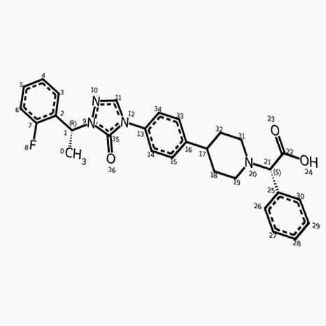 C[C@H](c1ccccc1F)n1ncn(-c2ccc(C3CCN([C@H](C(=O)O)c4ccccc4)CC3)cc2)c1=O